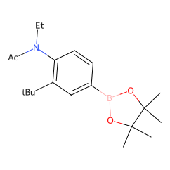 CCN(C(C)=O)c1ccc(B2OC(C)(C)C(C)(C)O2)cc1C(C)(C)C